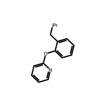 CC(C)Cc1ccccc1Oc1ccccn1